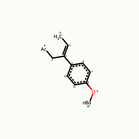 CC=C(CC(C)=O)c1ccc(OCCCC)cc1